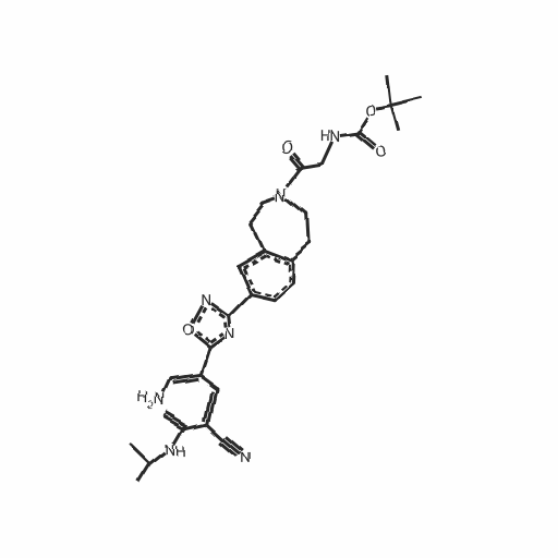 C=C(NC(C)C)/C(C#N)=C\C(=C/N)c1nc(-c2ccc3c(c2)CCN(C(=O)CNC(=O)OC(C)(C)C)CC3)no1